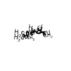 C=C(NC)c1ccc(Nc2nccn3c(C4CC=C(CC)C(F)=C4F)cnc23)cc1CC